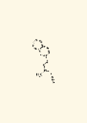 [CH2]N(CC#N)SSc1ccc2ccccc2c1